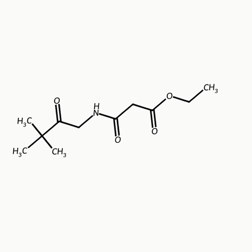 CCOC(=O)CC(=O)NCC(=O)C(C)(C)C